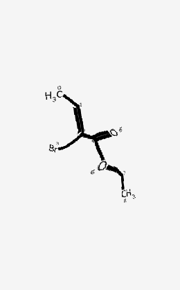 CC=C(Br)C(=O)OCC